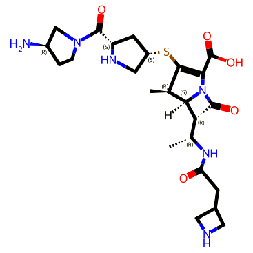 C[C@@H](NC(=O)CC1CNC1)[C@H]1C(=O)N2C(C(=O)O)=C(S[C@@H]3CN[C@H](C(=O)N4CC[C@@H](N)C4)C3)[C@H](C)[C@H]12